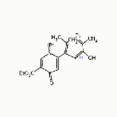 C=C(C)/C(O)=C\C(=C(C)C)c1cc(=O)c(C(=O)OCC)cn1C(C)C